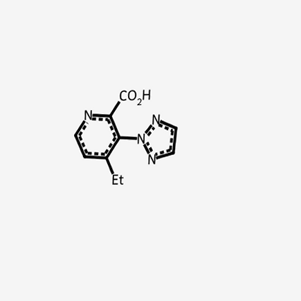 CCc1ccnc(C(=O)O)c1-n1nccn1